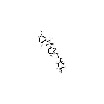 Cc1ccc(F)cc1S(=O)(=O)Nc1cccc(COCc2ccc(F)cc2)n1